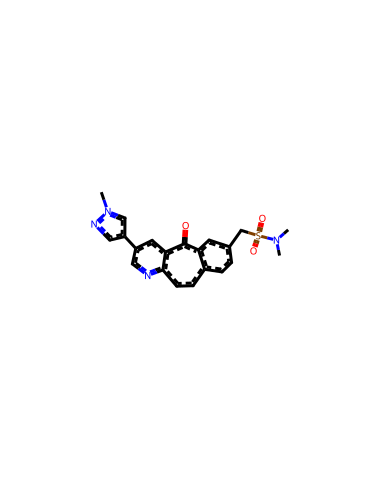 CN(C)S(=O)(=O)Cc1ccc2ccc3ncc(-c4cnn(C)c4)cc3c(=O)c2c1